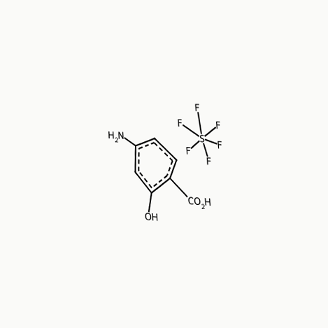 FS(F)(F)(F)(F)F.Nc1ccc(C(=O)O)c(O)c1